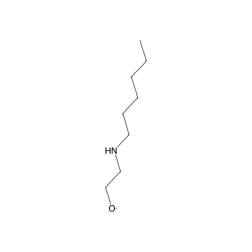 CCCCCCNCC[O]